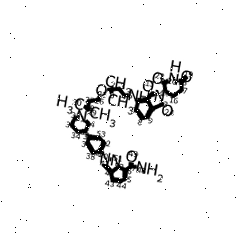 CC(C)(CCNc1cccc2c1C(=O)N(C1CCC(=O)NC1=O)C2=O)OCCC(C)(C)N1CCC[C@@H](c2ccc(-n3cc4cccc(C(N)=O)c4n3)cc2)C1